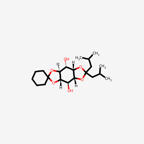 CC(C)CC1(CC(C)C)O[C@@H]2[C@@H](O)[C@@H]3OC4(CCCCC4)O[C@H]3[C@H](O)[C@@H]2O1